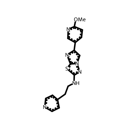 COc1ccc(-c2cn3nc(NCCc4ccncc4)sc3n2)cn1